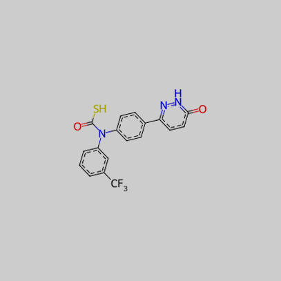 O=C(S)N(c1ccc(-c2ccc(=O)[nH]n2)cc1)c1cccc(C(F)(F)F)c1